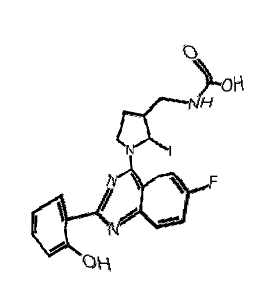 O=C(O)NCC1CCN(c2nc(-c3ccccc3O)nc3ccc(F)cc23)C1I